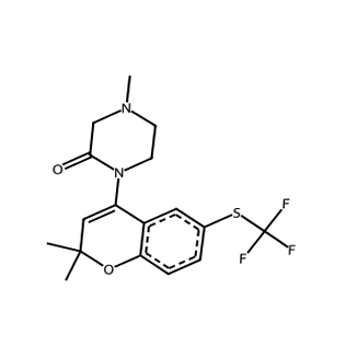 CN1CCN(C2=CC(C)(C)Oc3ccc(SC(F)(F)F)cc32)C(=O)C1